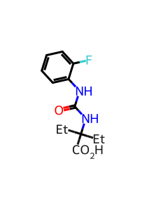 CCC(CC)(NC(=O)Nc1ccccc1F)C(=O)O